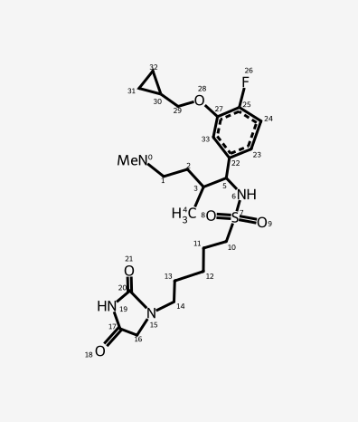 CNCCC(C)C(NS(=O)(=O)CCCCCN1CC(=O)NC1=O)c1ccc(F)c(OCC2CC2)c1